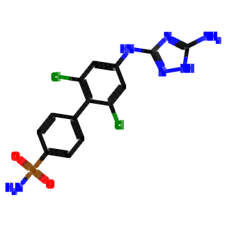 Nc1nc(Nc2cc(Cl)c(-c3ccc(S(N)(=O)=O)cc3)c(Cl)c2)n[nH]1